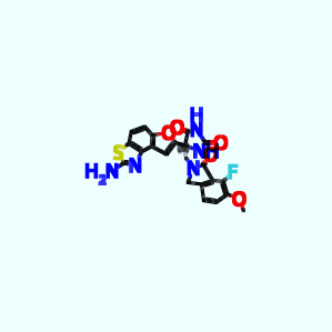 COc1ccc2c(c1F)C(=O)N(C[C@@]1(c3cc4c(ccc5sc(N)nc54)o3)NC(=O)NC1=O)C2